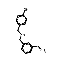 NCc1cccc(CNCc2ccc(O)cc2)c1